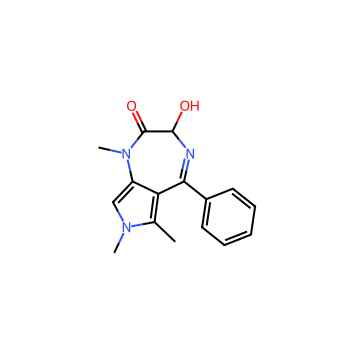 Cc1c2c(cn1C)N(C)C(=O)C(O)N=C2c1ccccc1